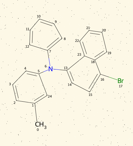 Cc1cccc(N(c2ccccc2)c2ccc(Br)c3ccccc23)c1